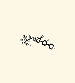 O=C(NC[C@H]1CN(c2ccc(N3CCOCC3)c(F)c2)C(=O)O1)OC([PH](=O)O)P(=O)(O)O